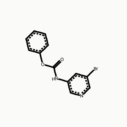 O=C(Nc1cncc(Br)c1)Oc1ccccc1